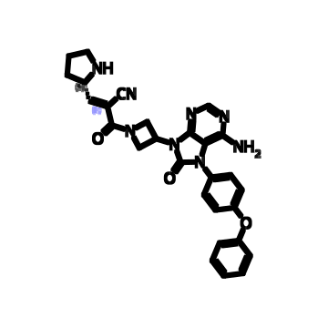 N#C/C(=C\[C@@H]1CCCN1)C(=O)N1CC(n2c(=O)n(-c3ccc(Oc4ccccc4)cc3)c3c(N)ncnc32)C1